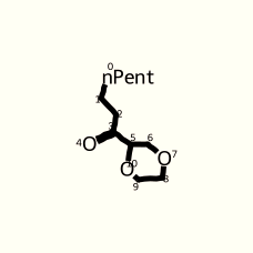 CCCCCCCC(=O)C1COCCO1